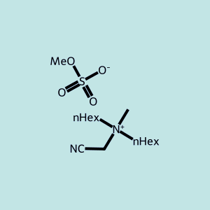 CCCCCC[N+](C)(CC#N)CCCCCC.COS(=O)(=O)[O-]